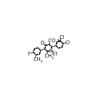 CCn1c(C)c(-c2ccc(F)c(C)c2)c(=O)c(C(=O)O)c1-c1ccc(Cl)c(Cl)c1